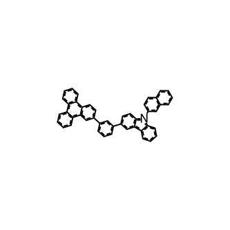 c1cc(-c2ccc3c4ccccc4c4ccccc4c3c2)cc(-c2ccc3c(c2)c2ccccc2n3-c2ccc3ccccc3c2)c1